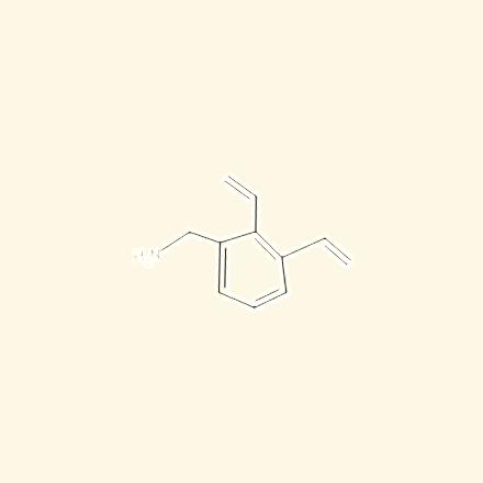 C=Cc1cccc(CN)c1C=C